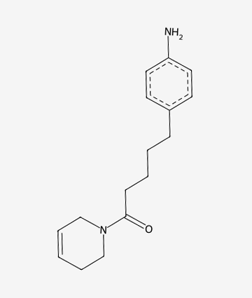 Nc1ccc(CCCCC(=O)N2CC=CCC2)cc1